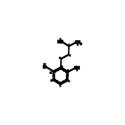 CC(O)CCc1c(O)cccc1Br